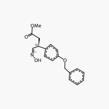 COC(=O)C[C@H](/C=N\O)c1ccc(OCc2ccccc2)cc1